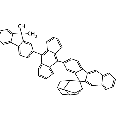 CC1(C)c2ccccc2-c2ccc(-c3c4ccccc4c(-c4ccc5c(c4)C4(c6cc7ccccc7cc6-5)C5CC6CC(C5)CC4C6)c4ccccc34)cc21